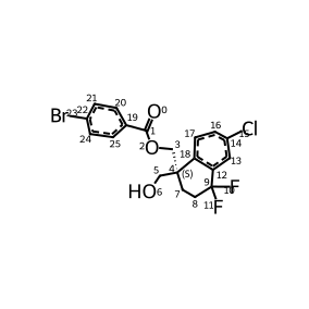 O=C(OC[C@@]1(CO)CCC(F)(F)c2cc(Cl)ccc21)c1ccc(Br)cc1